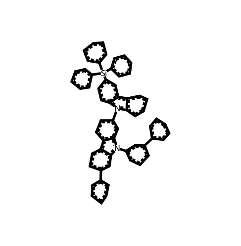 c1ccc(-c2cccc(-n3c4cc(-c5ccccc5)ccc4c4ccc(-n5c6ccccc6c6cc([Si](c7ccccc7)(c7ccccc7)c7ccccc7)ccc65)cc43)c2)cc1